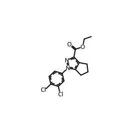 CCOC(=O)c1nn(-c2ccc(Cl)c(Cl)c2)c2c1CCC2